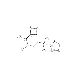 CC(CCC(C)(C)[C@@H]1CCCN1)C(C)[C@@H]1CCO1